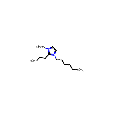 CCCCCCCCCCCCCCCn1cc[n+](CCCCCC)c1CCCCCCCCCCCC